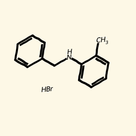 Br.Cc1ccccc1NCc1ccccc1